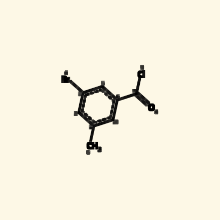 Cc1cc(Br)cc(C(=O)Cl)c1